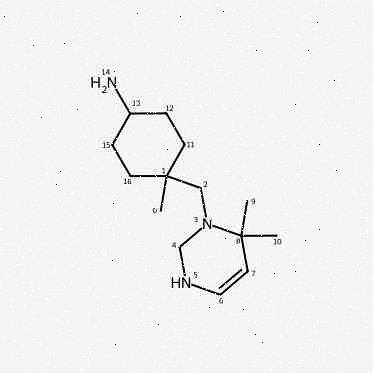 CC1(CN2CNC=CC2(C)C)CCC(N)CC1